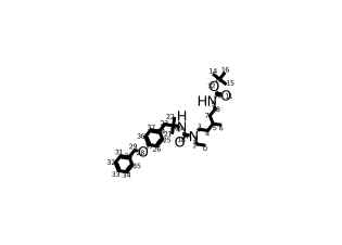 CCN(CCC(C)CCNC(=O)OC(C)(C)C)C(=O)NC(C)(C)Cc1ccc(OCc2ccccc2)cc1